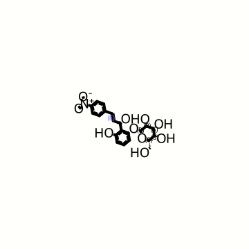 O=C(/C=C/c1ccc([N+](=O)[O-])cc1)c1c(O)cccc1O[C@H]1O[C@@H](CO)[C@@H](O)[C@H](O)[C@H]1O